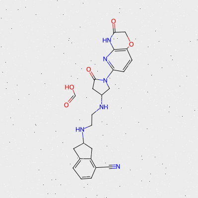 N#Cc1cccc2c1CC(NCCNC1CC(=O)N(c3ccc4c(n3)NC(=O)CO4)C1)C2.O=CO